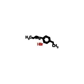 Br.CC[CH2][Mg][c]1ccc(CC)cc1